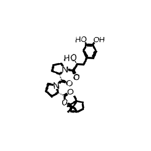 CC1(C)C2CCC1(C)C(OC(=O)[C@@H]1CCCN1C(=O)[C@@H]1CCCN1C(=O)[C@H](O)Cc1ccc(O)c(O)c1)C2